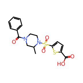 CC1CN(C(=O)c2ccccc2)CCN1S(=O)(=O)c1ccc(C(=O)O)s1